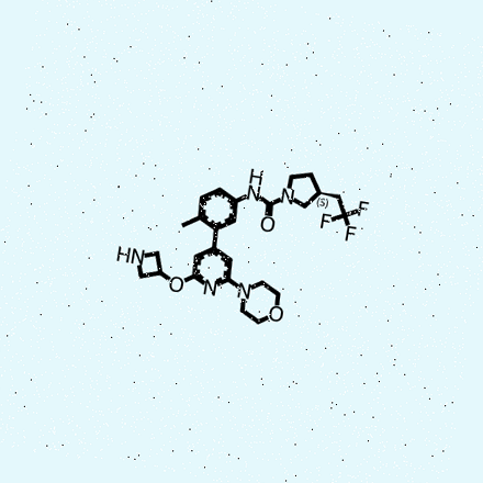 Cc1ccc(NC(=O)N2CC[C@@H](CC(F)(F)F)C2)cc1-c1cc(OC2CNC2)nc(N2CCOCC2)c1